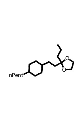 CCCCCC1CCC(CCC2(CCI)OCCO2)CC1